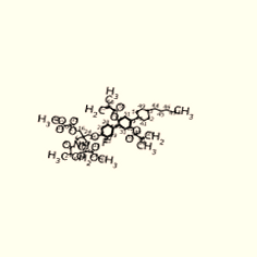 C=C(C)C(=O)NCC(COC(=O)C(=O)OC)(COC(=O)C(=O)OC)COc1ccc(-c2cc(OC(=O)C(=C)C)c(C3CCC(CCCCC)CC3)cc2OC(=O)C(=C)C)cc1F